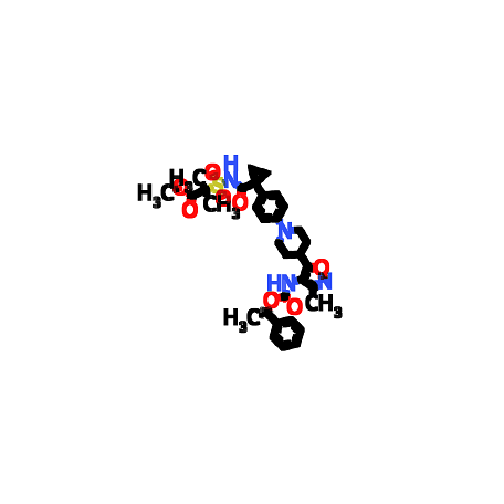 COC(=O)C(C)(C)S(=O)(=O)NC(=O)C1(c2ccc(N3CCC(c4onc(C)c4NC(=O)O[C@H](C)c4ccccc4)CC3)cc2)CC1